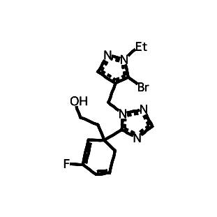 CCn1ncc(Cn2ncnc2C2(CCO)C=C(F)C=CC2)c1Br